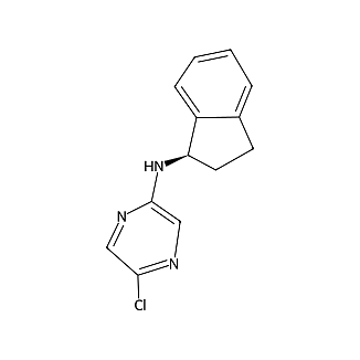 Clc1cnc(N[C@@H]2CCc3ccccc32)cn1